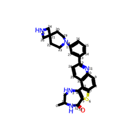 CC1CNc2c(sc3ccc4nc(-c5cccc(N6CCC7(CC6)CNC7)c5)ccc4c23)C(=O)N1